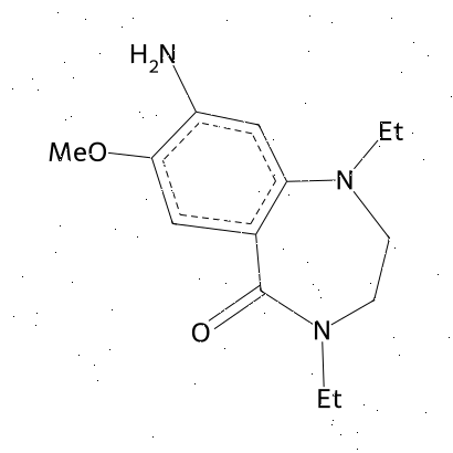 CCN1CCN(CC)c2cc(N)c(OC)cc2C1=O